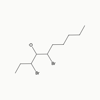 CCCCCC(Br)C([O])C(Br)CC